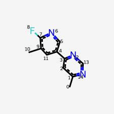 Cc1cc(-c2cnc(F)c(C)c2)ncn1